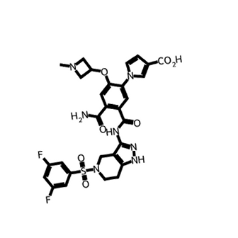 CN1CC(Oc2cc(C(N)=O)c(C(=O)Nc3n[nH]c4c3CN(S(=O)(=O)c3cc(F)cc(F)c3)CC4)cc2-n2ccc(C(=O)O)c2)C1